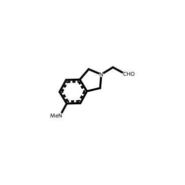 CNc1ccc2c(c1)CN(CC=O)C2